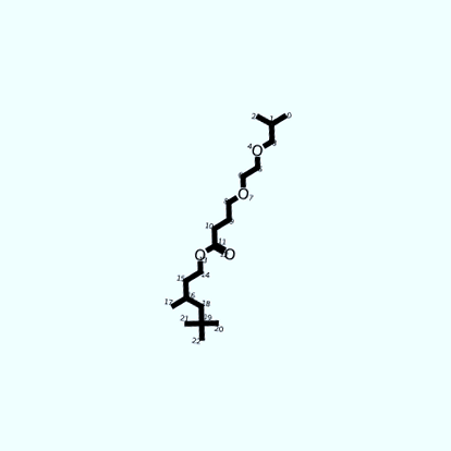 CC(C)COCCOCCCC(=O)OCCC(C)CC(C)(C)C